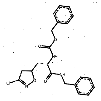 O=C(N[C@@H](CC1CC(Cl)=NO1)C(=O)NCc1ccccc1)OCc1ccccc1